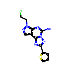 Nc1nc2c(cnn2CCCl)c2nc(-c3cccs3)nn12